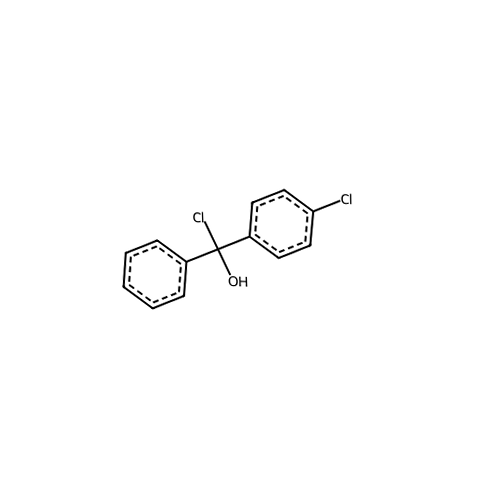 OC(Cl)(c1ccccc1)c1ccc(Cl)cc1